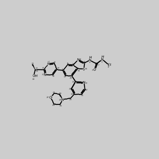 CCNC(=O)Nc1nc2cc(-c3cnc([C@H](C)O)nc3)cc(-c3cc(CN4CCOCC4)ccn3)c2s1